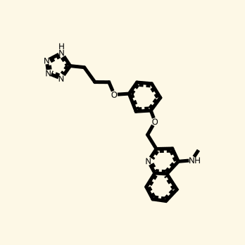 CNc1cc(COc2cccc(OCCCc3nnn[nH]3)c2)nc2ccccc12